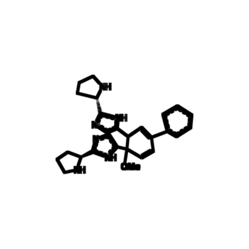 COC1(c2cnc([C@@H]3CCCN3)[nH]2)C=CC(c2ccccc2)=CC1c1cnc([C@@H]2CCCN2)[nH]1